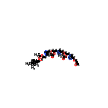 CC(=O)O[C@@H](COCC#C[Si](C)(C)C(C)(C)C)Cn1cc(COC[C@@H](Cn2cc(COC[C@@H](Cn3cc(COC[C@H]4CO4)nn3)OC(C)=O)nn2)OC(C)=O)nn1